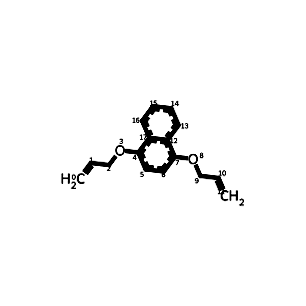 C=CCOc1ccc(OCC=C)c2ccccc12